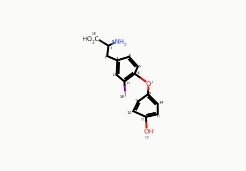 NC(Cc1ccc(Oc2ccc(O)cc2)c(I)c1)C(=O)O